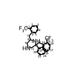 FC(F)(F)c1ccccc1CC1CNCC(Cc2ccccc2C(F)(F)F)(c2ccccc2)N1